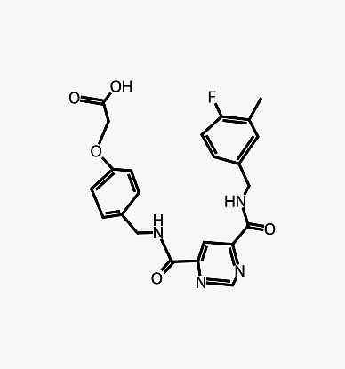 Cc1cc(CNC(=O)c2cc(C(=O)NCc3ccc(OCC(=O)O)cc3)ncn2)ccc1F